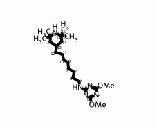 COc1nc(NCCCCCCCCC2CC(C)(C)NC(C)(C)C2)nc(OC)n1